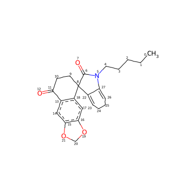 CCCCCN1C(=O)C2(CCC(=O)c3cc4c(cc32)OCO4)C2=CCCC=C21